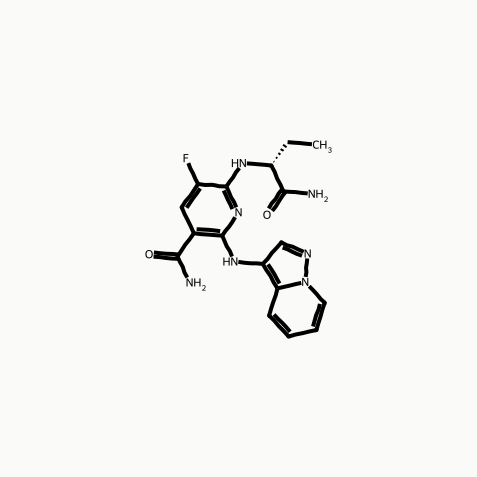 CC[C@@H](Nc1nc(Nc2cnn3ccccc23)c(C(N)=O)cc1F)C(N)=O